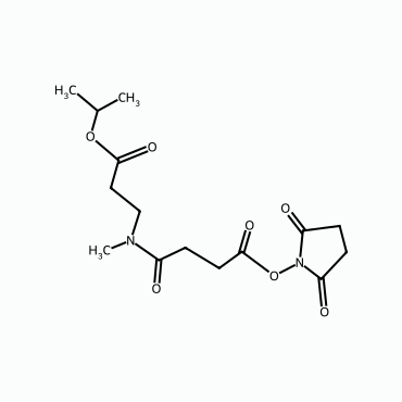 CC(C)OC(=O)CCN(C)C(=O)CCC(=O)ON1C(=O)CCC1=O